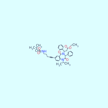 CCOC(=O)CC(c1ccccc1)N1C(=O)c2cc(C#CCCCNC(=O)OC(C)(C)C)ccc2N(C(C)C)C(=O)C1c1ccccc1